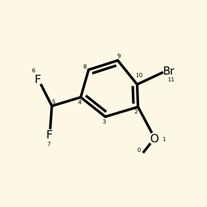 COc1cc(C(F)F)ccc1Br